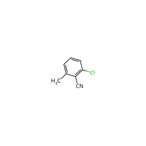 Cc1cc[c]c(Cl)c1C#N